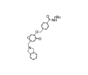 CCCCNC(=O)c1ccc(COc2coc(CN3Cc4ccccc4C3)cc2=O)cc1